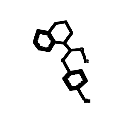 CCOC(Oc1ccc(C(C)CC)cc1)C1CCCc2ccccc21